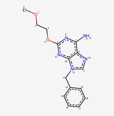 CCOCCOc1nc(N)c2ncn(Cc3ccccc3)c2n1